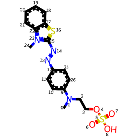 CN(CCOS(=O)(=O)O)c1ccc(N=Nc2sc3ccccc3[n+]2C)cc1